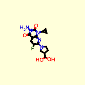 Nn1c(=O)c2cc(F)c(N3CCC(C(O)O)C3)nc2n(C2CC2)c1=O